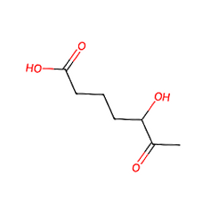 CC(=O)C(O)CCCC(=O)O